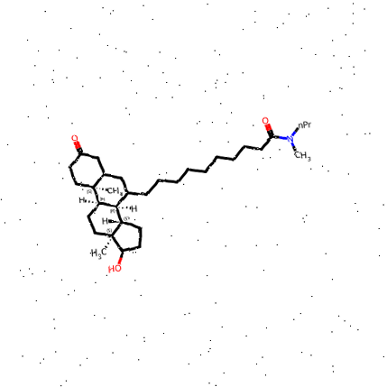 CCCN(C)C(=O)CCCCCCCCCC1CC2CC(=O)CC[C@]2(C)[C@@H]2CC[C@]3(C)C(O)CC[C@H]3[C@H]12